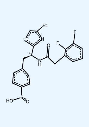 CCc1csc([C@H](Cc2ccc(S(=O)O)cc2)NC(=O)Cc2cccc(F)c2F)n1